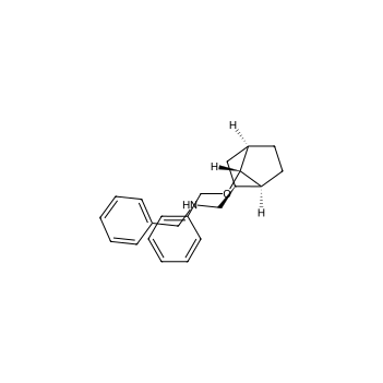 c1ccc(CNC[C@H]2C[C@H]3CC[C@@H]2[C@@H]3OCc2ccccc2)cc1